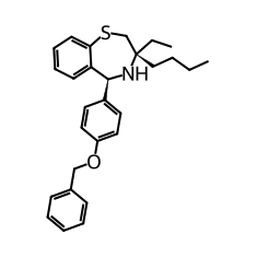 CCCC[C@]1(CC)CSc2ccccc2[C@H](c2ccc(OCc3ccccc3)cc2)N1